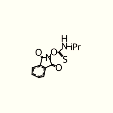 CC(C)NC(=S)ON1C(=O)c2ccccc2C1=O